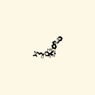 CC(C)N(C)CC=CC(=O)N1CCc2c(sc3ncnc(Nc4ccc5c(ccn5Cc5ccccn5)c4)c23)C1